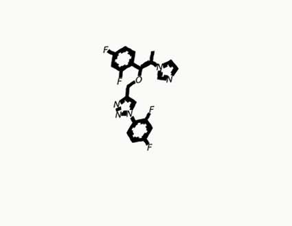 C/C(=C(/OCc1cn(-c2ccc(F)cc2F)nn1)c1ccc(F)cc1F)n1ccnc1